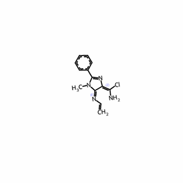 C=C/N=C1\C(=C(/N)Cl)N=C(c2ccccc2)N1C